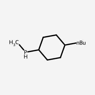 CCCCC1CCC(PC)CC1